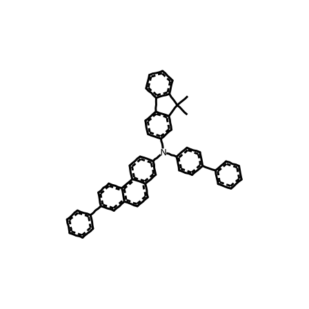 CC1(C)c2ccccc2-c2ccc(N(c3ccc(-c4ccccc4)cc3)c3ccc4c(ccc5cc(-c6ccccc6)ccc54)c3)cc21